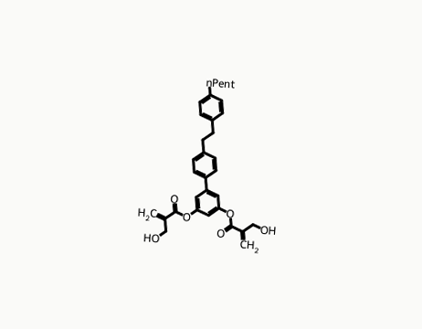 C=C(CO)C(=O)Oc1cc(OC(=O)C(=C)CO)cc(-c2ccc(CCc3ccc(CCCCC)cc3)cc2)c1